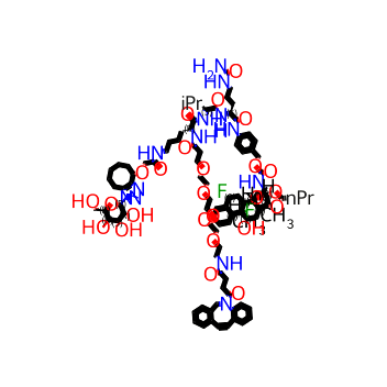 CCCC1O[C@@H]2C[C@H]3[C@@H]4C[C@H](F)C5=CC(=O)C=C[C@]5(C)[C@@]4(F)[C@@H](O)C[C@]3(C)[C@]2(C(=O)CNC(=O)OCc2ccc(NC(=O)[C@H](CCCNC(N)=O)NC(=O)[C@@H](NC(=O)[C@@H](CCCCNC(=O)COC3CCCCCc4c3nnn4[C@@H]3O[C@H](CO)[C@H](O)[C@H](O)[C@H]3O)NC(=O)CCOCCOCCOCCOCCNC(=O)CCC(=O)N3Cc4ccccc4C#Cc4ccccc43)C(C)C)cc2)O1